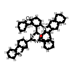 c1ccc(-c2nc(-c3ccc4c(c3)sc3ccccc34)nc(-c3c(-n4c5ccccc5c5cc6ccccc6cc54)ccc4oc5ccccc5c34)n2)cc1